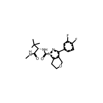 CNC(=O)[C@@H](NC(=O)n1nc(-c2ccc(F)c(F)c2)c2c1CCOC2)C(C)(C)C